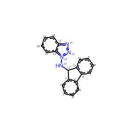 c1ccc2c(c1)-c1ccccc1C2Nn1nnc2ccccc21